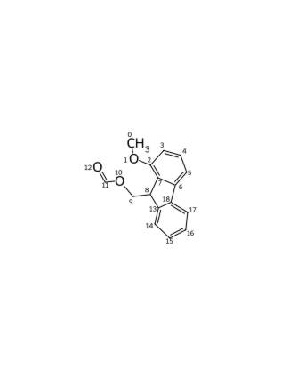 COc1cccc2c1C(COC=O)c1ccccc1-2